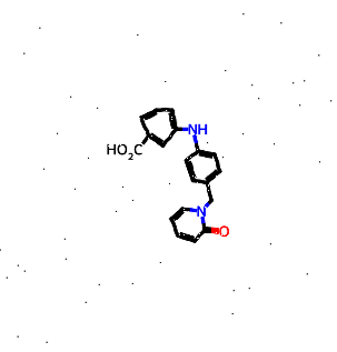 O=C(O)c1cccc(Nc2ccc(Cn3ccccc3=O)cc2)c1